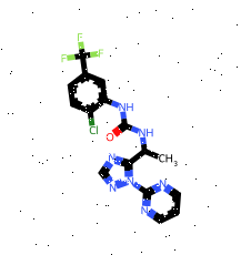 CC(NC(=O)Nc1cc(C(F)(F)F)ccc1Cl)c1ncnn1-c1ncccn1